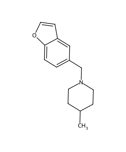 CC1CCN(Cc2ccc3occc3c2)CC1